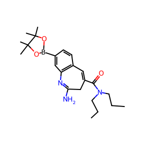 CCCN(CCC)C(=O)C1=Cc2ccc(B3OC(C)(C)C(C)(C)O3)cc2N=C(N)C1